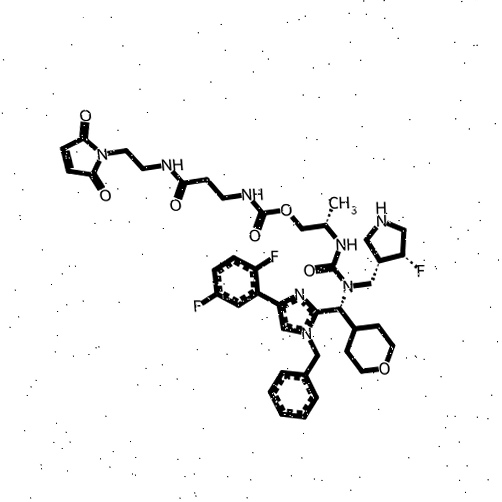 C[C@@H](COC(=O)NCCC(=O)NCCN1C(=O)C=CC1=O)NC(=O)N(C[C@@H]1CNC[C@@H]1F)[C@@H](c1nc(-c2cc(F)ccc2F)cn1Cc1ccccc1)C1CCOCC1